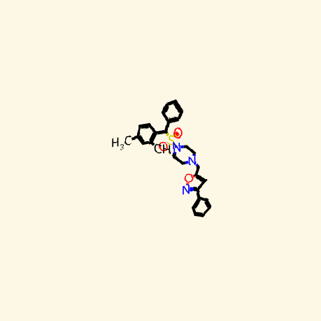 Cc1ccc(C(c2ccccc2)S(=O)(=O)N2CCN(Cc3cc(-c4ccccc4)no3)CC2)c(C)c1